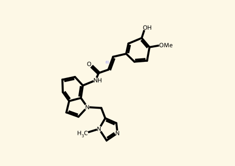 COc1ccc(/C=C/C(=O)Nc2cccc3ccn(Cc4cncn4C)c23)cc1O